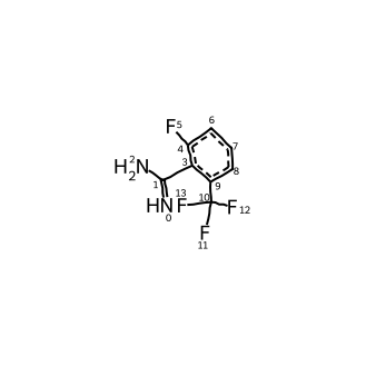 N=C(N)c1c(F)cccc1C(F)(F)F